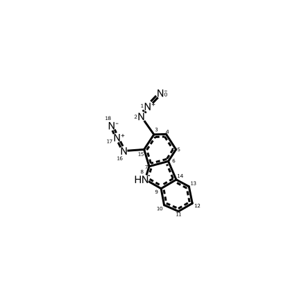 [N-]=[N+]=Nc1ccc2c([nH]c3ccccc32)c1N=[N+]=[N-]